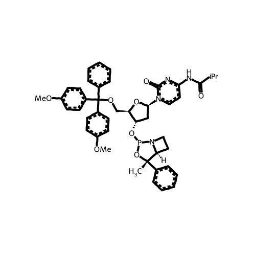 COc1ccc(C(OC[C@H]2O[C@@H](n3ccc(NC(=O)C(C)C)nc3=O)C[C@@H]2OP2O[C@@](C)(c3ccccc3)[C@@H]3CCN32)(c2ccccc2)c2ccc(OC)cc2)cc1